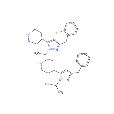 CC(C)n1nc(Cc2ccccc2)cc1C1CCNCC1.CCn1nc(Cc2ccccc2F)cc1C1CCNCC1